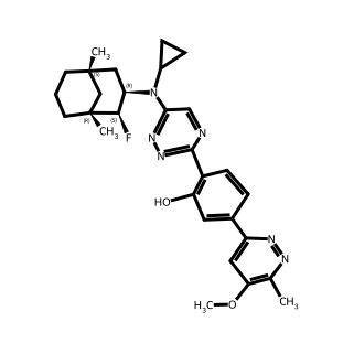 COc1cc(-c2ccc(-c3ncc(N(C4CC4)[C@@H]4C[C@@]5(C)CCC[C@](C)(C5)[C@@H]4F)nn3)c(O)c2)nnc1C